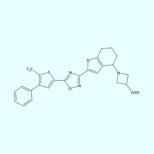 O=[C]C1CN(C2CCCc3oc(-c4noc(-c5cc(-c6ccccc6)c(C(F)(F)F)s5)n4)cc32)C1